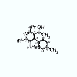 CCCCCCc1c(C(C)C)nc(C(C)C)c(C(C)O)c1-c1ccc(C)cc1